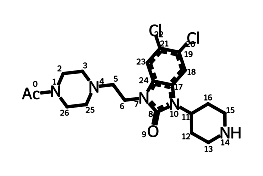 CC(=O)N1CCN(CCn2c(=O)n(C3CCNCC3)c3cc(Cl)c(Cl)cc32)CC1